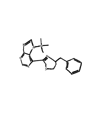 C[Si](C)(C)n1cnc2ncnc(C3=NC(Cc4ccccc4)CS3)c21